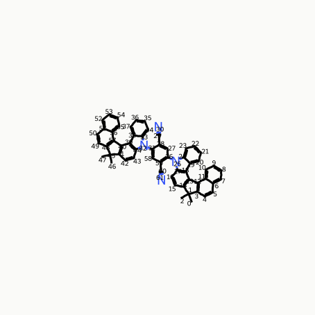 CC1(C)c2ccc3ccccc3c2-c2c1ccc1c2c2ccccc2n1-c1cc(C#N)c(-n2c3ccccc3c3c4c(ccc32)C(C)(C)c2ccc3ccccc3c2-4)cc1C#N